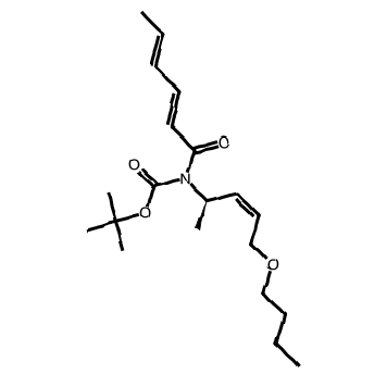 C/C=C/C=C/C(=O)N(C(=O)OC(C)(C)C)[C@H](C)/C=C\COCCCC